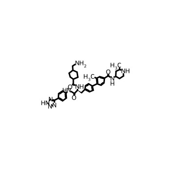 Cc1cc(C(=O)NC2CCNC(C)C2)ccc1-c1ccc(C[C@H](NC(=O)C2CCC(CN)CC2)C(=O)Nc2ccc(-c3nn[nH]n3)cc2)cc1